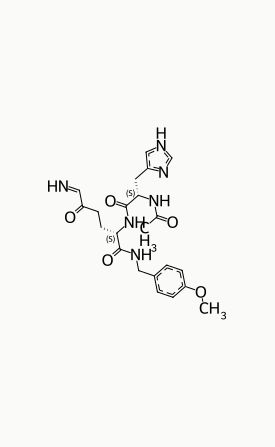 COc1ccc(CNC(=O)[C@H](CCC(=O)C=N)NC(=O)[C@H](Cc2c[nH]cn2)NC(C)=O)cc1